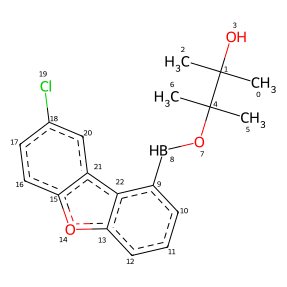 CC(C)(O)C(C)(C)OBc1cccc2oc3ccc(Cl)cc3c12